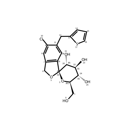 OC[C@H]1O[C@]2(OCc3cc(Cl)c(Cc4cccs4)cc32)[C@H](O)[C@@H](O)[C@@H]1O